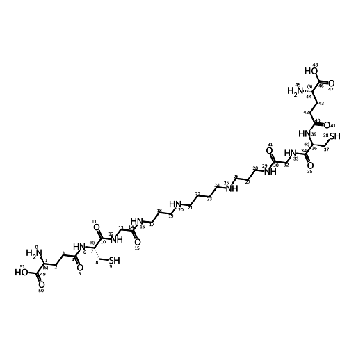 N[C@@H](CCC(=O)N[C@@H](CS)C(=O)NCC(=O)NCCCNCCCCNCCCNC(=O)CNC(=O)[C@H](CS)NC(=O)CC[C@H](N)C(=O)O)C(=O)O